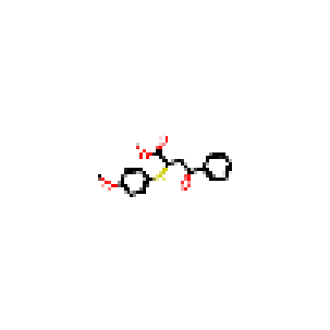 COC(=O)C(CC(=O)c1ccccc1)Sc1ccc(OC)cc1